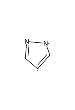 [C]1=C[N]N=C1